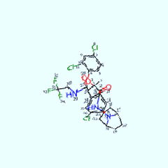 CC(C)(Oc1ccc(Cl)cc1Cl)C(=O)NC1CC2CCC(C1)N2c1ccc(C(=O)NCC(F)(F)F)cc1Cl